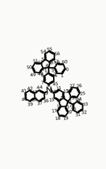 c1ccc(C2(c3ccc(N(c4ccc5c(c4)-c4ccccc4C5(c4ccccc4)c4ccccc4)c4ccc5ccccc5c4)cc3)c3ccccc3-c3ccccc32)cc1